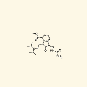 COC(=O)c1cccc2c1N(CCN(C(C)C)C(C)C)C(=O)C2=NNC(N)=O